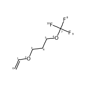 C=COCCCOC(F)(F)F